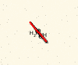 CCCCCCCCCCCCCCOC(=O)C(N)CCCCNC(=O)CCCCCCCCCCC